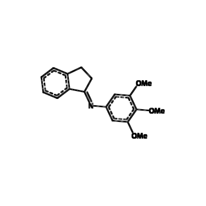 COc1cc(/N=C2\CCc3ccccc32)cc(OC)c1OC